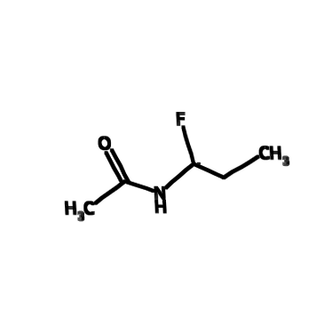 CC[C](F)NC(C)=O